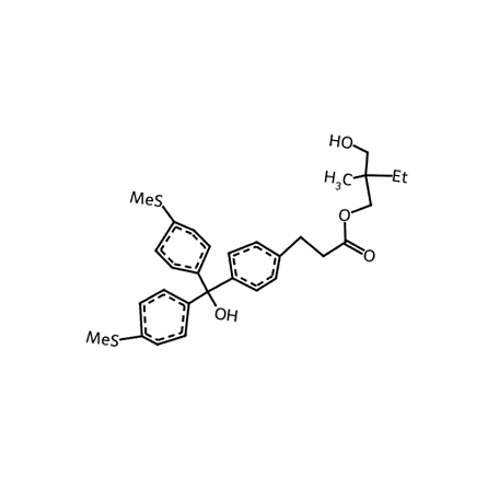 CCC(C)(CO)COC(=O)CCc1ccc(C(O)(c2ccc(SC)cc2)c2ccc(SC)cc2)cc1